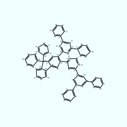 c1ccc(-c2cc(-c3ccccc3)cc(-c3cc(-c4cc5c(cc4-c4nc(-c6ccccc6)nc(-c6ccccc6)n4)C(c4ccccc4)(c4ccccc4)c4ccccc4-5)ncn3)c2)cc1